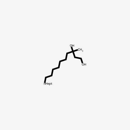 CCCCCCCCCCCCCCC(C)(O)CCO